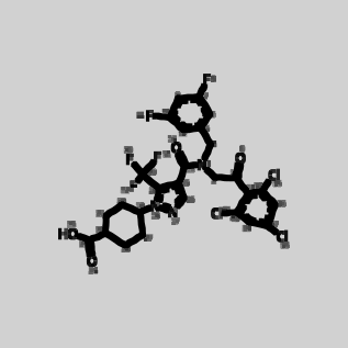 O=C(CN(Cc1cc(F)cc(F)c1)C(=O)c1cnn(C2CCC(C(=O)O)CC2)c1C(F)(F)F)c1c(Cl)cc(Cl)cc1Cl